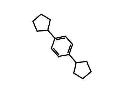 [c]1cc(C2CCCC2)ccc1C1CCCC1